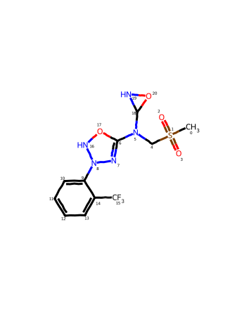 CS(=O)(=O)CN(C1=NN(c2ccccc2C(F)(F)F)NO1)C1NO1